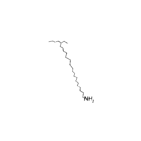 CCCCC(CC)CCCCCCCCCCCCCCCCCCCN